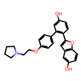 Oc1ccc(-c2cc3cc(O)ccc3o2)c(-c2ccc(OCCN3CCCC3)cc2)c1